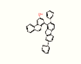 Oc1cc(-c2c(-c3ccccc3)ccc3c2Cc2cc(-c4ccccc4)ccc2-3)c2ccc3ccccc3c2c1